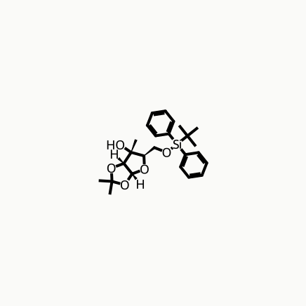 CC1(C)O[C@H]2O[C@H](CO[Si](c3ccccc3)(c3ccccc3)C(C)(C)C)[C@@](C)(O)[C@H]2O1